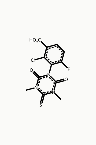 Cn1c(=S)n(C)c(=O)n(-c2c(F)ccc(C(=O)O)c2Cl)c1=O